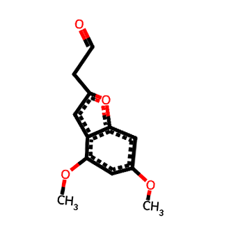 COc1cc(OC)c2cc(CC=O)oc2c1